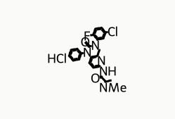 CNC(C)C(=O)Nc1ccc2c(n1)CN(c1cc(Cl)ccc1F)C(=O)N2c1ccccc1.Cl